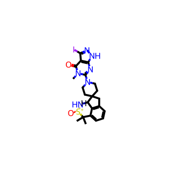 Cn1c(N2CCC3(CC2)Cc2cccc4c2[C@H]3N[S@+]([O-])C4(C)C)nc2[nH]nc(I)c2c1=O